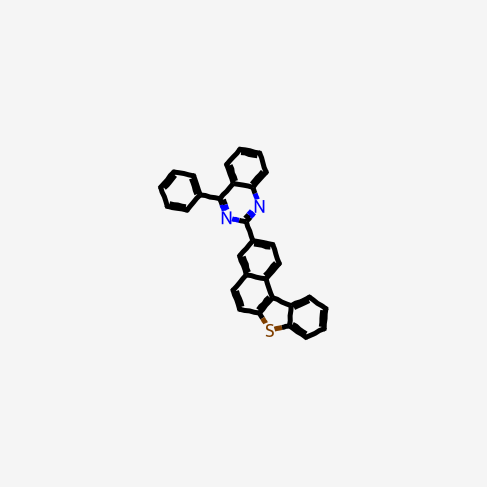 c1ccc(-c2nc(-c3ccc4c(ccc5sc6ccccc6c54)c3)nc3ccccc23)cc1